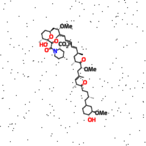 CO[C@@H](C[C@@H]1CC[C@@H](C)[C@](O)(C(=O)C(=O)N2CCCC[C@H]2C(=O)O)O1)/C(C)=C/C=C/C=C/[C@@H](C)C[C@@H](C)C(=O)[C@@H](C/C(C)=C/[C@@H](C)C(=O)CC[C@H](C)CC1CC[C@@H](O)[C@H](OC)C1)OC